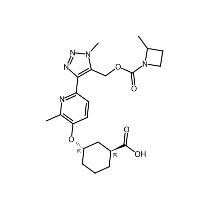 Cc1nc(-c2nnn(C)c2COC(=O)N2CCC2C)ccc1O[C@H]1CCC[C@H](C(=O)O)C1